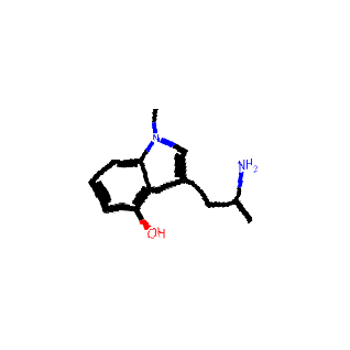 CC(N)Cc1cn(C)c2cccc(O)c12